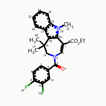 CCOC(=O)C1=CN(C(=O)c2ccc(F)c(F)c2)CC(C)(C)c2c1n(C)c1ccccc21